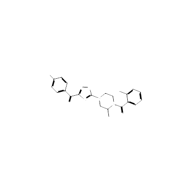 CC1CN(c2nc(C(=O)c3ccc(F)cc3)ns2)CCN1C(=O)c1ccccc1Cl